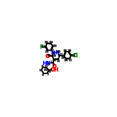 O=C(N[C@H]1CCCC[C@@H]1O)c1cc(-c2ccc(Cl)cc2)nn(-c2cccc(F)c2)c1=O